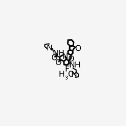 CN1CCCC1CCNc1c(F)cc2c(=O)c(C(=O)NCCN3CCCC3)cn3c4cc5c(cc4oc1c23)c(=O)c1ccccc15